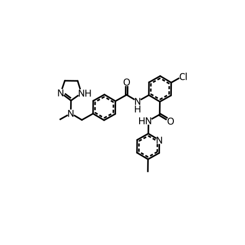 Cc1ccc(NC(=O)c2cc(Cl)ccc2NC(=O)c2ccc(CN(C)C3=NCCN3)cc2)nc1